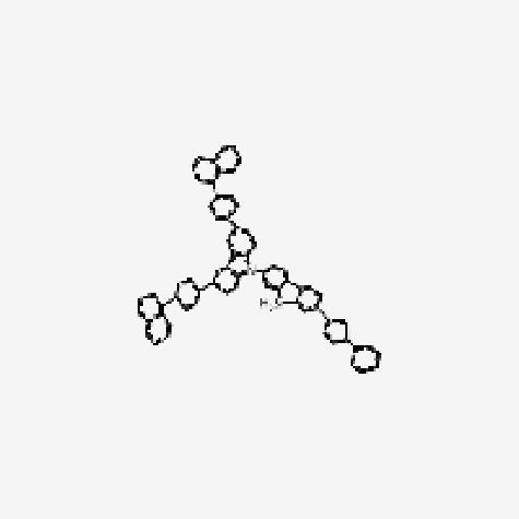 c1ccc(-c2ccc(-c3ccc4c(c3)[SiH2]c3cc(-n5c6ccc(-c7ccc(-c8cccc9ccccc89)cc7)cc6c6cc(-c7ccc(-c8cccc9ccccc89)cc7)ccc65)ccc3-4)cc2)cc1